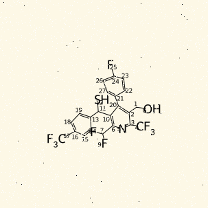 OCc1c(C(F)(F)F)nc(C(F)F)c(C(S)c2ccc(C(F)(F)F)cc2)c1-c1ccc(F)cc1